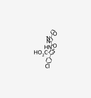 Cn1nc(C(=O)Nc2scc(-c3ccc(Cl)cc3)c2C(=O)O)cc1-c1ccco1